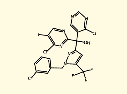 OC(c1cc(C(F)(F)F)n(Cc2cccc(Cl)c2)n1)(c1ncc(I)c(Cl)n1)c1cncnc1Cl